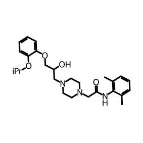 Cc1cccc(C)c1NC(=O)CN1CCN(CC(O)COc2ccccc2OC(C)C)CC1